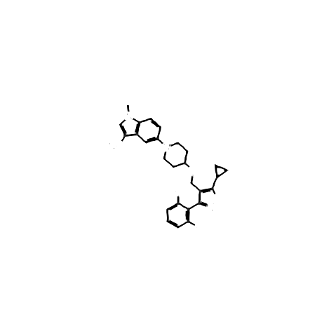 Cn1cc(C#N)c2cc(N3CCC(OCc4c(-c5c(Cl)cccc5Cl)noc4C4CC4)CC3)ccc21